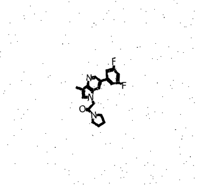 Cc1cn(CC(=O)N2CCCC2)c2cc(-c3cc(F)cc(F)c3)cnc12